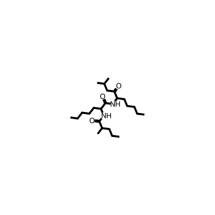 CCCCCC(NC(=O)C(CCCCC)NC(=O)C(C)CCC)C(=O)CC(C)C